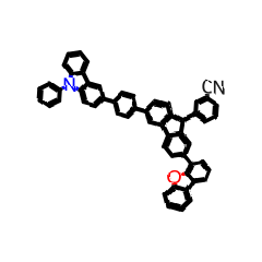 N#Cc1cccc(C2c3ccc(-c4ccc(-c5ccc6c(c5)c5ccccc5n6-c5ccccc5)cc4)cc3-c3ccc(-c4cccc5c4oc4ccccc45)cc32)c1